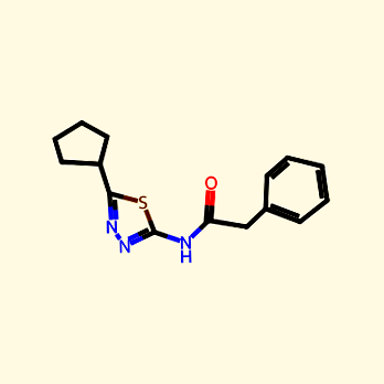 O=C(Cc1ccccc1)Nc1nnc(C2CCCC2)s1